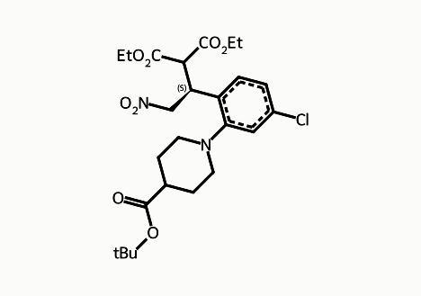 CCOC(=O)C(C(=O)OCC)[C@H](C[N+](=O)[O-])c1ccc(Cl)cc1N1CCC(C(=O)OC(C)(C)C)CC1